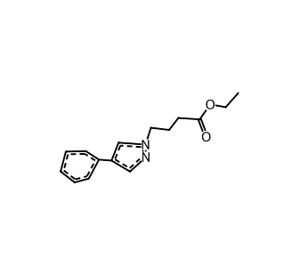 CCOC(=O)CCCn1cc(-c2ccccc2)cn1